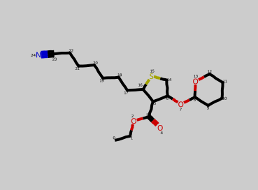 CCOC(=O)C1C(OC2CCCCO2)CSC1CCCCCCC#N